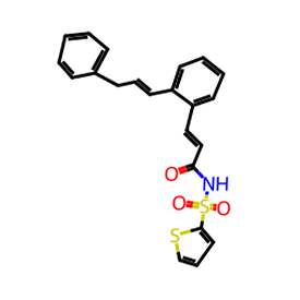 O=C(C=Cc1ccccc1C=CCc1ccccc1)NS(=O)(=O)c1cccs1